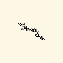 CCC(C)N(OCC1(CC)COC1)C(C)(C)CNc1cn2nc(Oc3cccc(NC=O)c3)ccc2n1